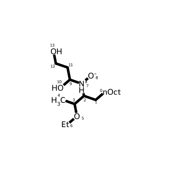 CCCCCCCCCC(C(C)OCC)[NH+]([O-])C(O)CCO